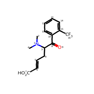 CN(C)C(CC=CC(=O)O)C(=O)c1ccccc1C(F)(F)F